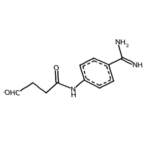 N=C(N)c1ccc(NC(=O)CC[C]=O)cc1